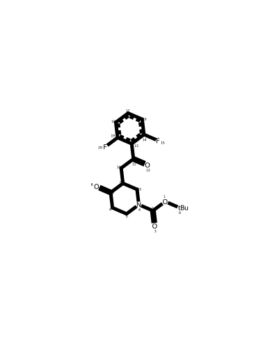 CC(C)(C)OC(=O)N1CCC(=O)C(CC(=O)c2c(F)cccc2F)C1